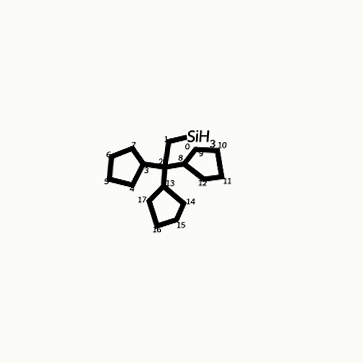 [SiH3]CC(C1CCCC1)(C1CCCC1)C1CCCC1